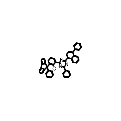 C1=C(c2nc(-c3ccccc3)nc(C3CC=C(c4ccccc4)c4ccccc43)n2)C2=C(CC1)C1(c3ccccc3O2)c2ccccc2-c2ccccc21